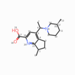 CC1CCc2c(C(C)N3CCC[C@H](C)C3)cc(C(=O)O)nc21